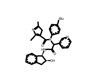 CC1=NC(C)=C(C(=O)N(c2ccc(C(C)(C)C)cc2)C(C(=O)N[C@@H]2c3ccccc3C[C@@H]2O)c2cccnc2)C1